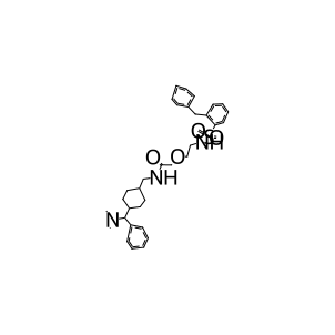 CN(C)C(c1ccccc1)C1CCC(CNC(=O)COCCNS(=O)(=O)c2ccccc2Cc2ccccc2)CC1